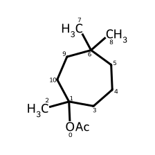 CC(=O)OC1(C)CCCC(C)(C)CC1